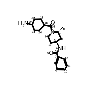 C[C@@H]1C[C@@H](NC(=O)c2ccccc2)CCN1C(=O)C1CCC(N)CC1